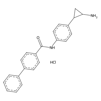 Cl.NC1CC1c1ccc(NC(=O)c2ccc(-c3ccccc3)cc2)cc1